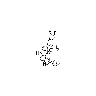 COc1cc(Nc2ccc3ncc(N4CCOCC4)nc3c2C#N)ccc1OCc1ccc(F)c(F)c1